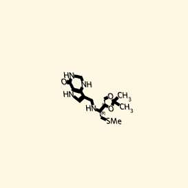 CSC[C@H](NCc1c[nH]c2c1NCNC2=O)[C@@H]1COC(C)(C)O1